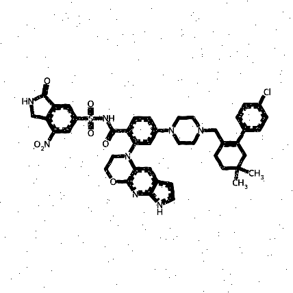 CC1(C)CCC(CN2CCN(c3ccc(C(=O)NS(=O)(=O)c4cc5c(c([N+](=O)[O-])c4)CNC5=O)c(N4CCOc5nc6[nH]ccc6cc54)c3)CC2)=C(c2ccc(Cl)cc2)C1